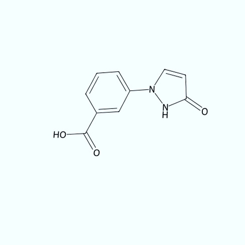 O=C(O)c1cccc(-n2ccc(=O)[nH]2)c1